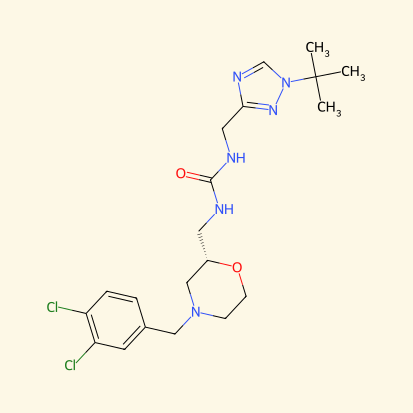 CC(C)(C)n1cnc(CNC(=O)NC[C@H]2CN(Cc3ccc(Cl)c(Cl)c3)CCO2)n1